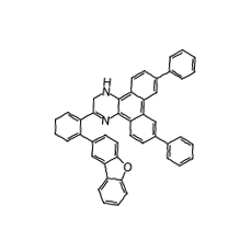 C1=C(C2=Nc3c(c4ccc(-c5ccccc5)cc4c4cc(-c5ccccc5)ccc34)NC2)C(c2ccc3oc4ccccc4c3c2)=CCC1